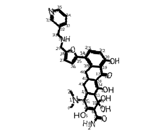 CN(C)[C@@H]1C(O)=C(C(N)=O)C(O)(O)C2C(O)=C3C(=O)c4c(O)ccc(-c5ccc(CNCc6cccnc6)o5)c4CC3CC21